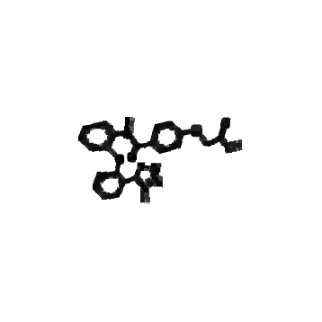 O=C(O)COc1ccc(C(=O)Nc2ccccc2Oc2ccccc2-c2nnn[nH]2)cc1